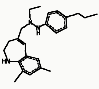 CCCc1ccc(NN(CC)CC2=Cc3cc(C)cc(C)c3NCC2)cc1